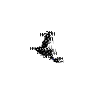 C[C@@H]1O[C@@H](O[C@@H]2CO[C@@H](Oc3c(O)cc(-c4oc5cc(O)cc(O)c5c(=O)c4O[C@@H]4O[C@@H](C)[C@H](O)[C@@H](O)[C@H]4O[C@@H]4O[C@H](COC(=O)/C=C/c5ccc(O)c(O)c5)[C@@H](O)[C@H](O)[C@H]4O)cc3O)[C@H](O)[C@H]2O)[C@H](O)[C@H](O)[C@H]1O